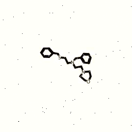 c1ccc(CSCCN(CCN2CCOCC2)Cc2ccccc2)cc1